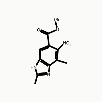 Cc1nc2c(C)c([N+](=O)[O-])c(C(=O)OC(C)(C)C)cc2[nH]1